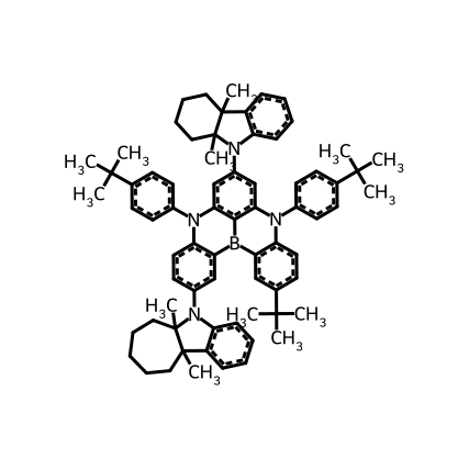 CC(C)(C)c1ccc(N2c3ccc(N4c5ccccc5C5(C)CCCCCC45C)cc3B3c4cc(C(C)(C)C)ccc4N(c4ccc(C(C)(C)C)cc4)c4cc(N5c6ccccc6C6(C)CCCCC56C)cc2c43)cc1